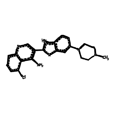 CN1CCN(c2ccc3[nH]c(-c4cnc5cccc(Cl)c5c4N)nc3c2)CC1